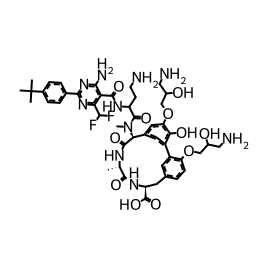 C[C@@H]1NC(=O)[C@@H](N(C)C(=O)C(CCN)NC(=O)c2c(N)nc(-c3ccc(C(C)(C)C)cc3)nc2C(F)F)c2cc(OCC(O)CN)c(O)c(c2)-c2cc(ccc2OCC(O)CN)C[C@@H](C(=O)O)NC1=O